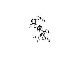 CCN(CC)C(=O)n1ccc(Sc2cc(C)ccc2F)n1